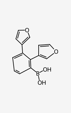 OB(O)c1cccc(-c2ccoc2)c1-c1ccoc1